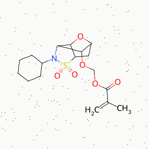 C=C(C)C(=O)OCOC1C2CC3C(O2)C1N(C1CCCCC1)S3(=O)=O